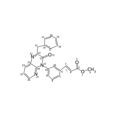 COC(=O)/C=C/c1cccc(-n2c(=O)c(Cc3ccccc3)nc3cccnc32)c1